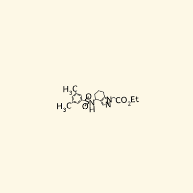 CCOC(=O)Cn1ncc2c1CCCC2NS(=O)(=O)c1cc(C)cc(C)c1